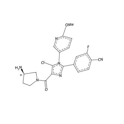 COc1ccc(-n2c(-c3ccc(C#N)c(F)c3)nc(C(=O)N3CC[C@@H](N)C3)c2Cl)cn1